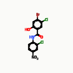 O=C(Nc1ccc([N+](=O)[O-])cc1Cl)c1cc(Cl)c(Br)cc1O